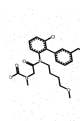 CCc1cccc(-c2c(Cl)cccc2N(CCCCOC)C(=O)CN(C)C(=O)O)c1